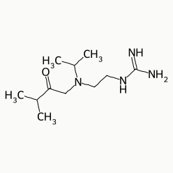 CC(C)C(=O)CN(CCNC(=N)N)C(C)C